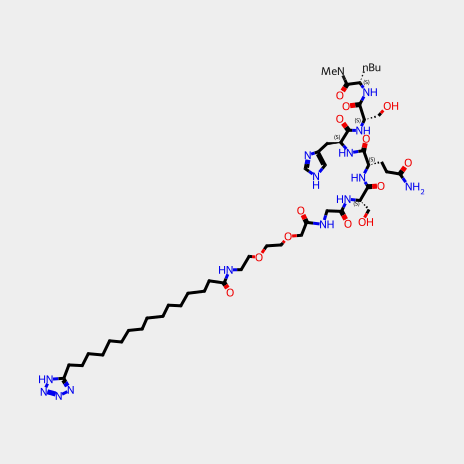 CCCC[C@H](NC(=O)[C@H](CO)NC(=O)[C@H](Cc1c[nH]cn1)NC(=O)[C@H](CCC(N)=O)NC(=O)[C@H](CO)NC(=O)CNC(=O)COCCOCCNC(=O)CCCCCCCCCCCCCCCc1nnn[nH]1)C(=O)NC